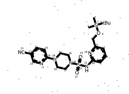 CC(C)(C)[Si](C)(C)OCc1cccc(NS(=O)(=O)N2CCN(c3ccc(C#N)cn3)CC2)n1